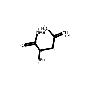 C=C(C)CC(CCCC)C(=O)NC